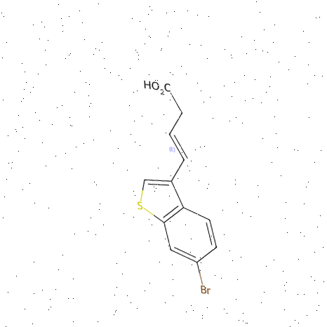 O=C(O)C/C=C/c1csc2cc(Br)ccc12